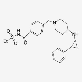 CCS(=O)(=O)NC(=O)c1ccc(CN2CCC(NC3CC3c3ccccc3)CC2)cc1